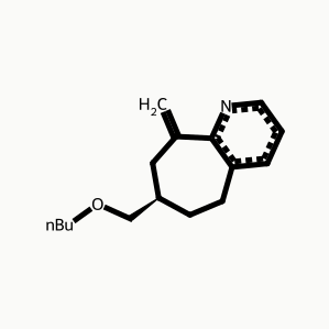 C=C1C[C@H](COCCCC)CCc2cccnc21